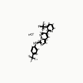 Cl.FC(F)(F)c1ccc(Nc2ncc3cc(-c4ncccc4C(F)(F)F)cnn23)cc1